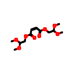 COC(COC(=O)/C=C\C(=O)OCC(OC)OC)OC